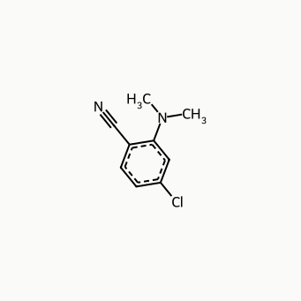 CN(C)c1cc(Cl)ccc1C#N